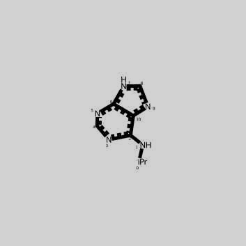 CC(C)Nc1ncnc2[nH]cnc12